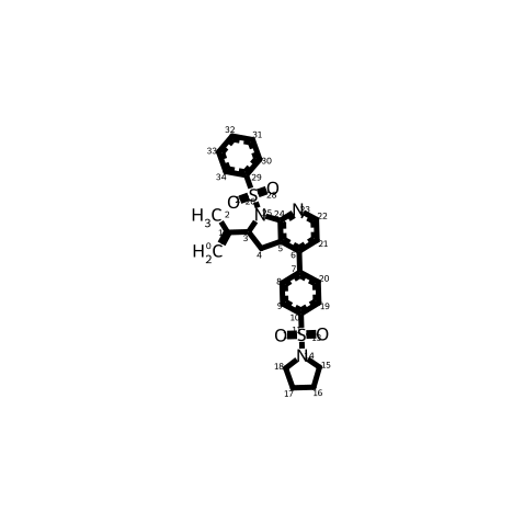 C=C(C)C1Cc2c(-c3ccc(S(=O)(=O)N4CCCC4)cc3)ccnc2N1S(=O)(=O)c1ccccc1